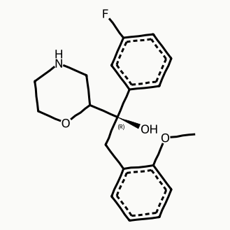 COc1ccccc1C[C@@](O)(c1cccc(F)c1)C1CNCCO1